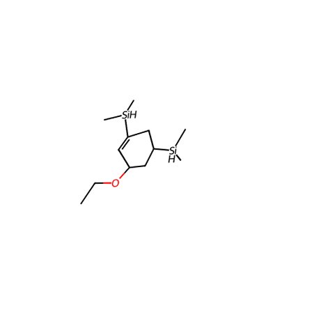 CCOC1C=C([SiH](C)C)CC([SiH](C)C)C1